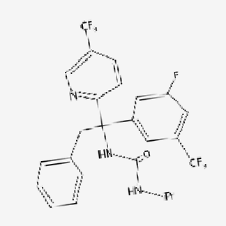 CC(C)NC(=O)NC(Cc1ccccc1)(c1cc(F)cc(C(F)(F)F)c1)c1ccc(C(F)(F)F)cn1